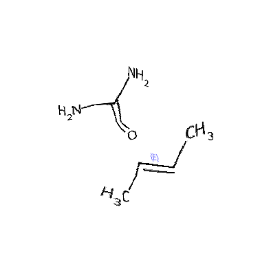 C/C=C/C.NC(N)=O